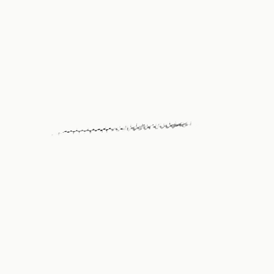 CCCCCCCCCCCCCCCCCCCCCCCCCCCC[SiH2]O[SiH2]O[SiH2]O[SiH2]O[SiH2]O[SiH2]O[SiH2]O[SiH2]O[SiH2]O[SiH2]O[SiH2]O[SiH2]O[SiH2]O[SiH3]